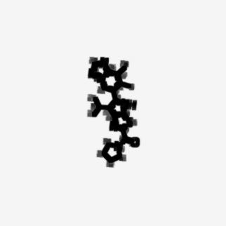 Cc1c(-c2[nH]c3sc(C(=O)N4CCCC4)nc3c2C(C)C)cn2ncnc2c1C